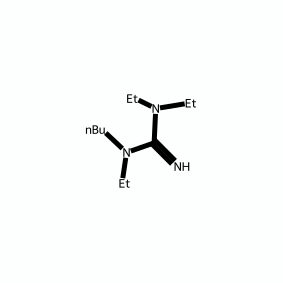 CCCCN(CC)C(=N)N(CC)CC